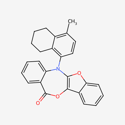 Cc1ccc(N2c3ccccc3C(=O)Oc3c2oc2ccccc32)c2c1CCCC2